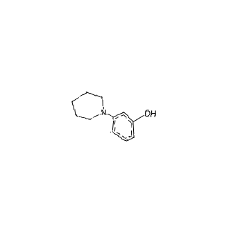 Oc1cc[c]c(N2CCCCC2)c1